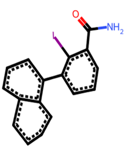 NC(=O)c1cccc(-c2cccc3ccccc23)c1I